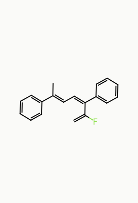 C=C(F)/C(=C\C=C(/C)c1ccccc1)c1ccccc1